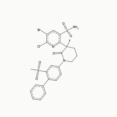 CS(=O)(=O)c1cc(N2CCCC(F)(c3nc(Cl)c(Br)cc3S(N)(=O)=O)C2=O)ccc1-c1ccccc1